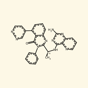 C[C@H](Nc1nc(N)nc2cccnc12)c1nc2cccc(-c3ccnnc3)c2c(=O)n1-c1ccccc1